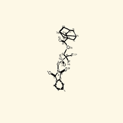 O=C1c2ccccc2C(=O)N1OS(=O)(=O)C(F)(F)COC(=O)C12CC3CC(CC(C3)C1)C2